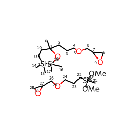 CC1(CCCOCC2CO2)CC[Si](C)(C)[Si](C)(C)O1.CO[Si](C)(CCCOCC1CO1)OC